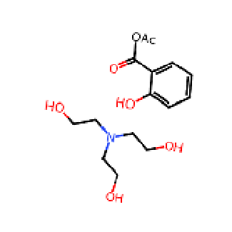 CC(=O)OC(=O)c1ccccc1O.OCCN(CCO)CCO